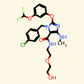 CNc1nc(Oc2cccc(OC(F)F)c2)n(Cc2ccc(Cl)cc2)c1C(=O)NCCOCCO